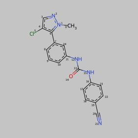 Cn1ncc(Cl)c1-c1cccc(NC(=O)Nc2ccc(C#N)cc2)c1